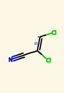 N#C/C(Cl)=[C]/Cl